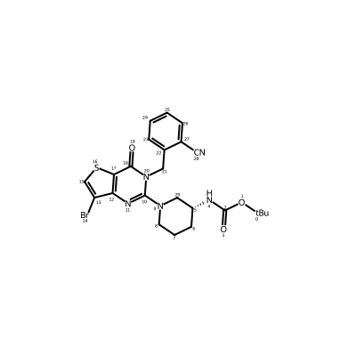 CC(C)(C)OC(=O)N[C@@H]1CCCN(c2nc3c(Br)csc3c(=O)n2Cc2ccccc2C#N)C1